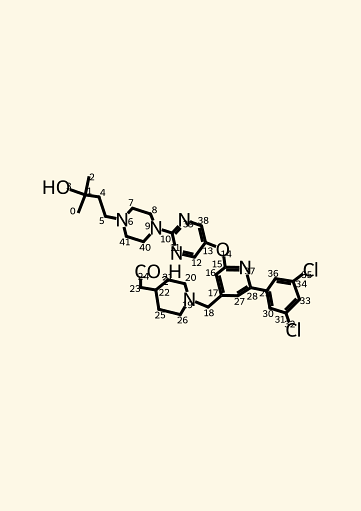 CC(C)(O)CCN1CCN(c2ncc(Oc3cc(CN4CCC(CC(=O)O)CC4)cc(-c4cc(Cl)cc(Cl)c4)n3)cn2)CC1